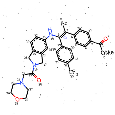 COC(=O)c1ccc(/C(C(C)=O)=C(/Nc2ccc3c(c2)CN(C(=O)CN2CCOCC2)C3)c2ccc(C(F)(F)F)cc2)cc1